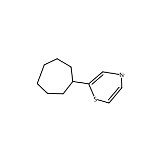 C1=CSC(C2CCCCCC2)=C[N]1